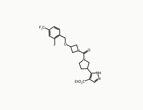 CCOC(=O)c1cn[nH]c1C1CCN(C(=O)N2CC(OCc3ccc(C(F)(F)F)cc3F)C2)C1